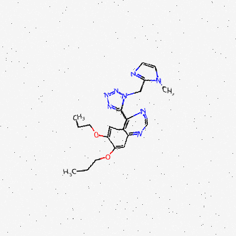 CCCOc1cc2ncnc(-c3nnnn3Cc3nccn3C)c2cc1OCCC